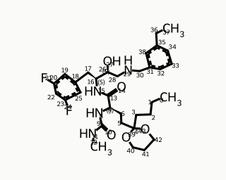 CCCCC1(CC[C@@H](NC(=O)NC)C(=O)N[C@@H](Cc2cc(F)cc(F)c2)[C@@H](O)CNCc2cccc(CC)c2)OCCCO1